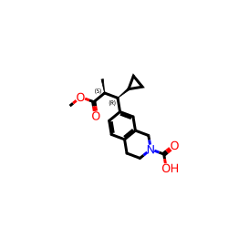 COC(=O)[C@@H](C)[C@H](c1ccc2c(c1)CN(C(=O)O)CC2)C1CC1